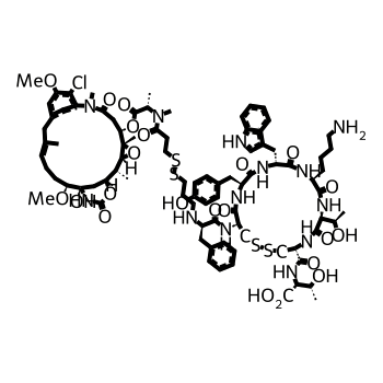 COc1cc2cc(c1Cl)N(C)C(=O)C[C@H](OC(=O)[C@H](C)N(C)C(=O)CCSSCCCN[C@H](Cc1ccccc1)C(=O)N[C@H]1CSSC[C@@H](C(=O)N[C@H](C(=O)O)[C@@H](C)O)NC(=O)[C@H]([C@@H](C)O)NC(=O)[C@H](CCCCN)NC(=O)[C@@H](Cc3c[nH]c4ccccc34)NC(=O)[C@H](Cc3ccc(O)cc3)NC1=O)[C@]1(C)O[C@H]1[C@H](C)[C@@H]1C[C@@](O)(NC(=O)O1)[C@H](OC)CC/C=C(\C)C2